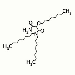 CCCCCCCCOC(C(N)=O)C(=O)N(CCCCCCCC)CCCCCCCC